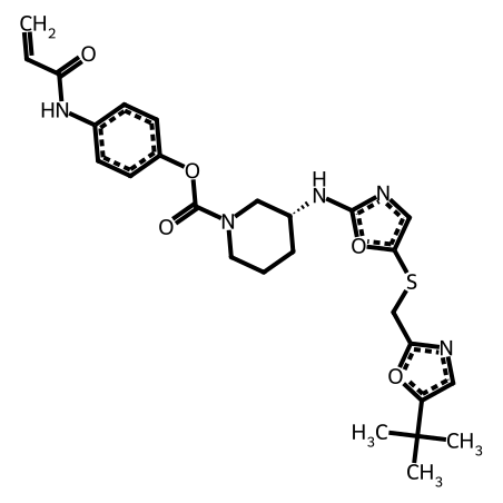 C=CC(=O)Nc1ccc(OC(=O)N2CCC[C@@H](Nc3ncc(SCc4ncc(C(C)(C)C)o4)o3)C2)cc1